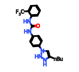 CCCCC1=CN(c2ccc(NC(=O)Nc3ccccc3C(F)(F)F)cc2)NN1